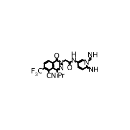 CC(C)c1nn(CC(=O)Nc2ccc(=N)n(C=N)c2)c(=O)c2ccc(C(F)(F)F)c(C#N)c12